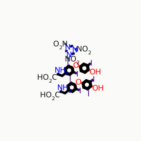 N[C@@H](Cc1cc(I)c(Oc2cc(I)c(O)c(I)c2)c(I)c1)C(=O)O.N[C@@H](Cc1cc(I)c(Oc2ccc(O)c(I)c2)c(I)c1)C(=O)O.O=[N+]([O-])N1CN([N+](=O)[O-])CN([N+](=O)[O-])C1